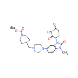 Cn1c(=O)n(C2CCC(=O)NC2=O)c2cc(N3CCN(CC4CCN(C(=O)OC(C)(C)C)CC4)CC3)ccc21